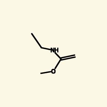 C=C(NCC)OC